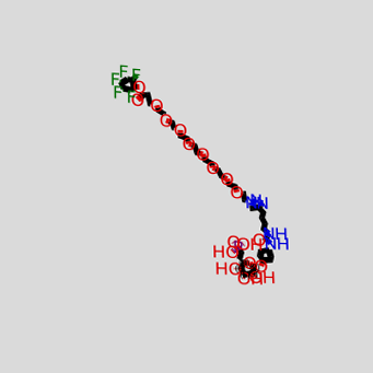 O=C(NCCCCc1cn(CCOCCOCCOCCOCCOCCOCCOCCOCCC(=O)Oc2c(F)c(F)c(F)c(F)c2F)nn1)Nc1ccc(O[C@H]2O[C@H](CCP(=O)(O)O)[C@@H](O)[C@H](O)[C@@H]2O)cc1